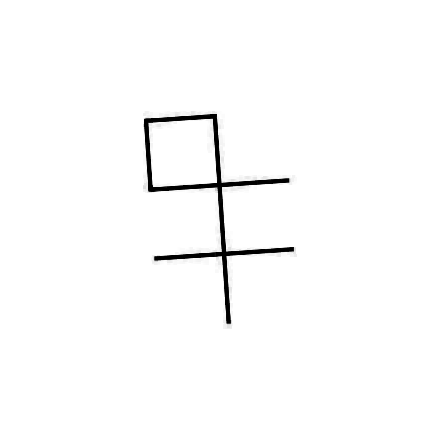 CC(C)(C)C1(C)CCC1